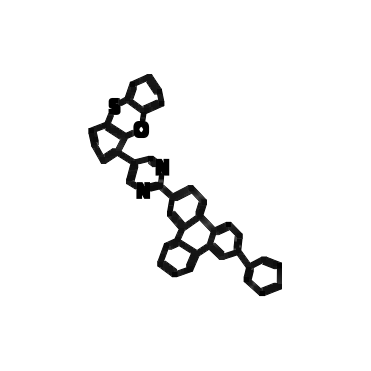 c1ccc(-c2ccc3c4ccc(-c5ncc(-c6cccc7c6Oc6ccccc6S7)cn5)cc4c4ccccc4c3c2)cc1